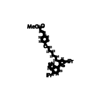 COC(=O)/C=C/c1ccc(OCCCCCCc2cc(C(C)C)sc2-c2ccc(C(C)C)c3nsnc23)cc1